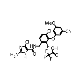 COc1cc(C#N)cc(Oc2c(Cl)ccc(CNC(=O)c3[nH]c(N)nc3Cl)c2F)c1.O=C(O)C(F)(F)F